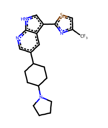 FC(F)(F)c1csc(-c2c[nH]c3ncc(C4CCC(N5CCCC5)CC4)cc23)n1